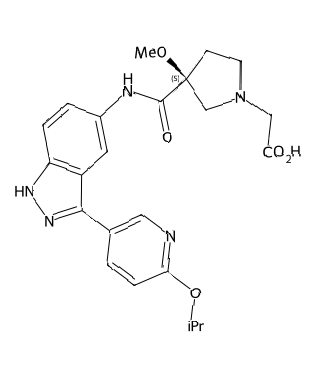 CO[C@@]1(C(=O)Nc2ccc3[nH]nc(-c4ccc(OC(C)C)nc4)c3c2)CCN(CC(=O)O)C1